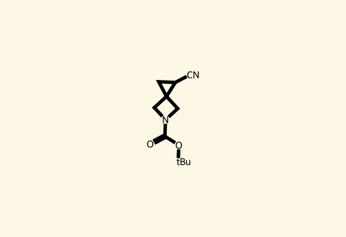 CC(C)(C)OC(=O)N1CC2(CC2C#N)C1